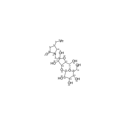 CC(C)CC1CC(=O)N(CC2(O)OC(CO)C(OC3OC(CO)C(O)C(O)C3O)C2O)C1